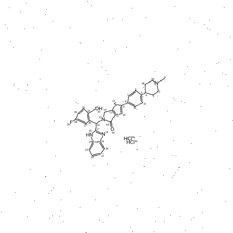 CN1CCC(c2ccc(-c3cc4c(s3)CN(C(c3nc5ccccc5[nH]3)c3cc(F)ccc3O)C4=O)cc2)CC1.Cl.Cl